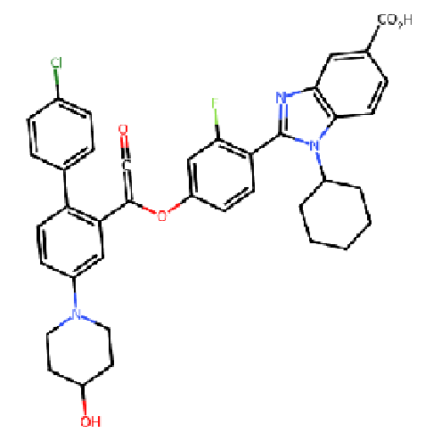 O=C=C(Oc1ccc(-c2nc3cc(C(=O)O)ccc3n2C2CCCCC2)c(F)c1)c1cc(N2CCC(O)CC2)ccc1-c1ccc(Cl)cc1